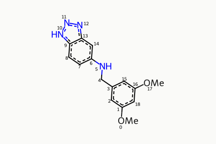 COc1cc(CNc2ccc3[nH]nnc3c2)cc(OC)c1